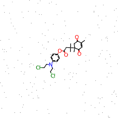 CC1=CC(=O)C(C)(C(C)(C)CC(=O)Oc2ccc(N(CCCl)CCCl)cc2)CC1=O